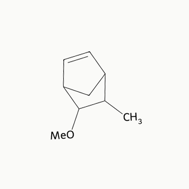 COC1C2C=CC(C2)C1C